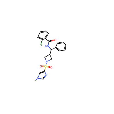 Cn1cnc(S(=O)(=O)N2CC(C(NC(=O)c3ccccc3Cl)c3ccccc3)C2)c1